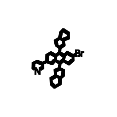 Brc1ccc2c(-c3ccc4ccccc4c3)c3cc(-c4cccnc4)ccc3c(-c3ccc4ccccc4c3)c2c1